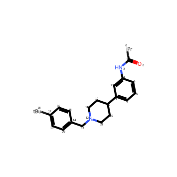 CC(C)C(=O)Nc1cccc(C2CCN(Cc3ccc(C(C)(C)C)cc3)CC2)c1